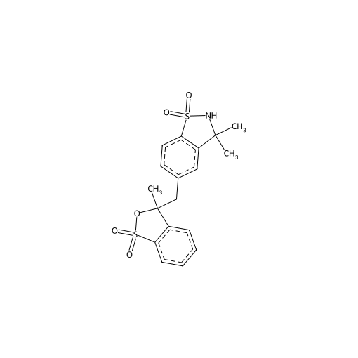 CC1(C)NS(=O)(=O)c2ccc(CC3(C)OS(=O)(=O)c4ccccc43)cc21